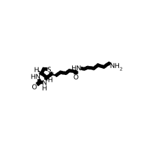 NCCCCCCNC(=O)CCCC[C@@H]1SC[C@@H]2NC(=O)N[C@@H]21